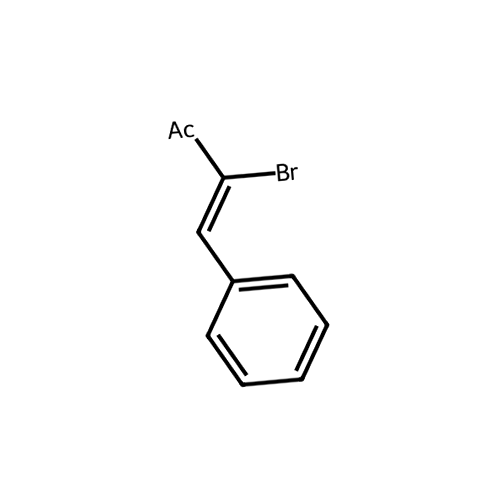 CC(=O)C(Br)=Cc1ccccc1